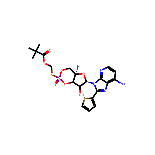 CC(C)(C)C(=O)OCSP1(=O)OC[C@H]2O[C@@H](n3c(-c4cccs4)nc4c(N)ccnc43)C(O)C2O1